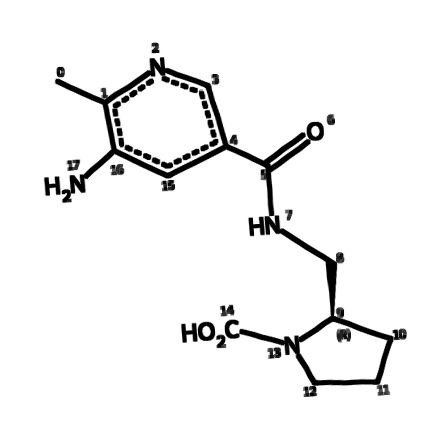 Cc1ncc(C(=O)NC[C@H]2CCCN2C(=O)O)cc1N